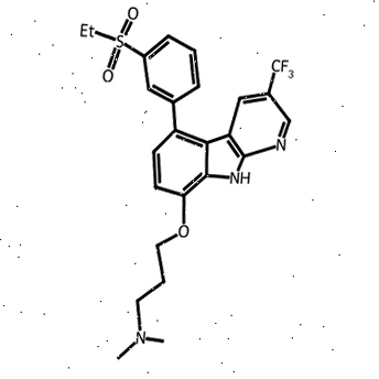 CCS(=O)(=O)c1cccc(-c2ccc(OCCCN(C)C)c3[nH]c4ncc(C(F)(F)F)cc4c23)c1